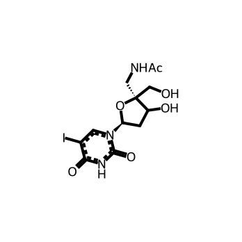 CC(=O)NC[C@@]1(CO)O[C@H](n2cc(I)c(=O)[nH]c2=O)CC1O